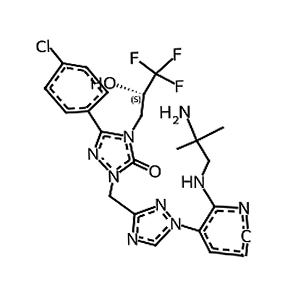 CC(C)(N)CNc1ncccc1-n1cnc(Cn2nc(-c3ccc(Cl)cc3)n(C[C@H](O)C(F)(F)F)c2=O)n1